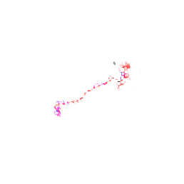 CCC(C(=O)N1CCC(c2c(CCCc3cccc(OCC(=O)NCCOCCOCCOCCOCCOCCOCCOCCNC(=O)COc4cccc5c4C(=O)N(C4CCC(=O)NC4=O)C5=O)c3)ccc(OC)c2OC)CC1C(=O)O)c1cc(OC)c(OC)c(OC)c1